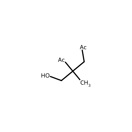 CC(=O)CC(C)(CO)C(C)=O